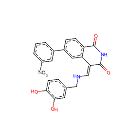 O=C1NC(=O)c2ccc(-c3cccc([N+](=O)[O-])c3)cc2C1=CNCc1ccc(O)c(O)c1